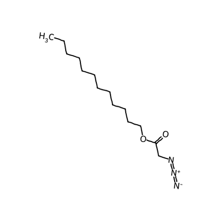 CCCCCCCCCCCCOC(=O)CN=[N+]=[N-]